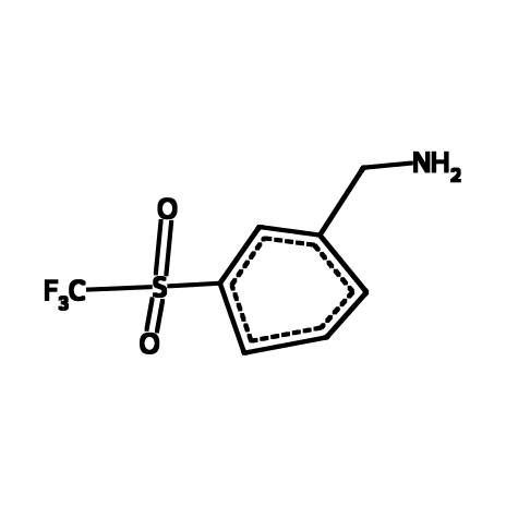 NCc1cccc(S(=O)(=O)C(F)(F)F)c1